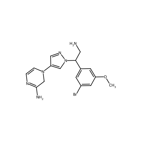 COc1cc(Br)cc(C(CN)n2cc(N3C=CN=C(N)C3)cn2)c1